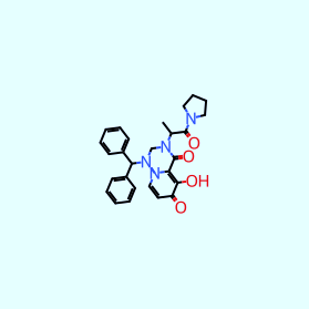 CC(C(=O)N1CCCC1)N1CN(C(c2ccccc2)c2ccccc2)n2ccc(=O)c(O)c2C1=O